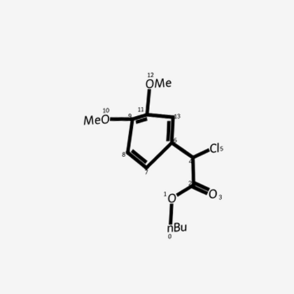 CCCCOC(=O)C(Cl)c1ccc(OC)c(OC)c1